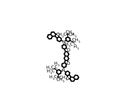 CC(C)(C)c1cc(N(c2ccc3c(c2)oc2cc4cc5oc6cc(N(c7cc(C(C)(C)C)cc(C(C)(C)C)c7)c7ccc8c(c7)oc7ccc9ccccc9c78)ccc6c5cc4cc23)c2ccc3c(c2)oc2ccc4ccccc4c23)cc(C(C)(C)C)c1